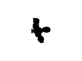 O=C(Nc1ccc(N2CCOCC2)cc1OCCN1CCOCC1)c1csc(-c2cccnc2)n1